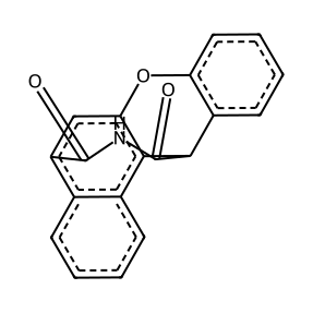 O=C1NC(=O)C2c3ccccc3Oc3cc1c1ccccc1c32